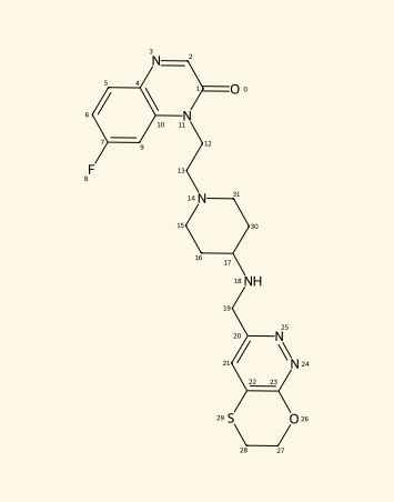 O=c1cnc2ccc(F)cc2n1CCN1CCC(NCc2cc3c(nn2)OCCS3)CC1